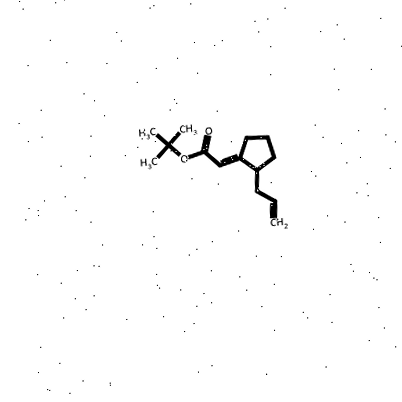 C=CCC1CCC/C1=C\C(=O)OC(C)(C)C